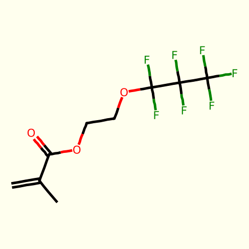 C=C(C)C(=O)OCCOC(F)(F)C(F)(F)C(F)(F)F